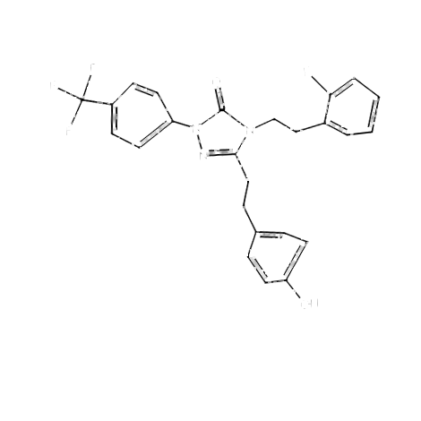 O=c1n(-c2ccc(C(F)(F)F)cc2)nc(CCc2ccc(O)cc2)n1CCc1ccccc1F